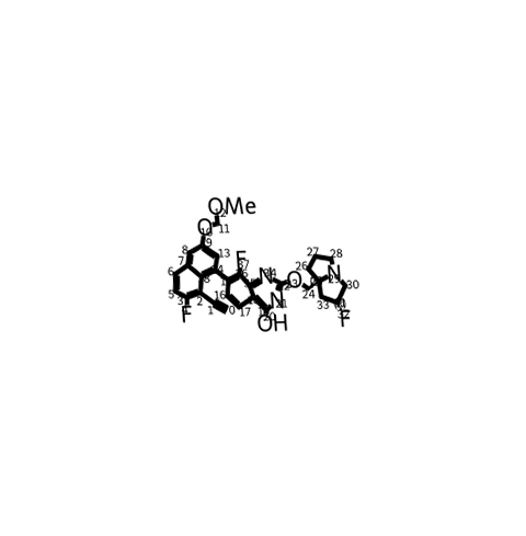 C#Cc1c(F)ccc2cc(OCOC)cc(-c3ccc4c(O)nc(OC[C@@]56CCCN5C[C@H](F)C6)nc4c3F)c12